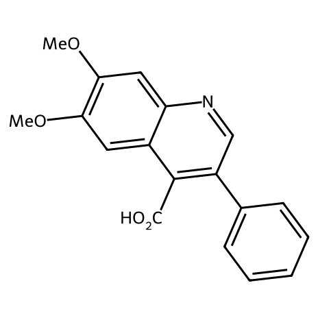 COc1cc2ncc(-c3ccccc3)c(C(=O)O)c2cc1OC